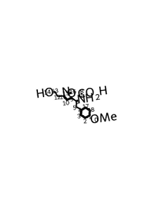 COc1ccc(CC(NC(=O)O)c2cc(CCO)no2)cc1